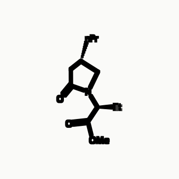 CCC[C@H]1CC(=O)N([C@@H](CC)C(=O)OC)C1